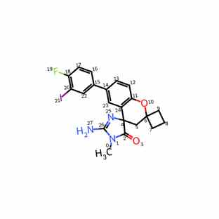 CN1C(=O)C2(CC3(CCC3)Oc3ccc(-c4ccc(F)c(I)c4)cc32)N=C1N